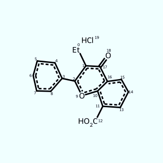 CCc1c(-c2ccccc2)oc2c(C(=O)O)cccc2c1=O.Cl